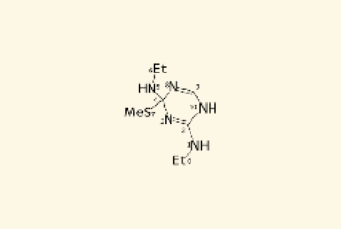 CCNC1=NC(NCC)(SC)N=CN1